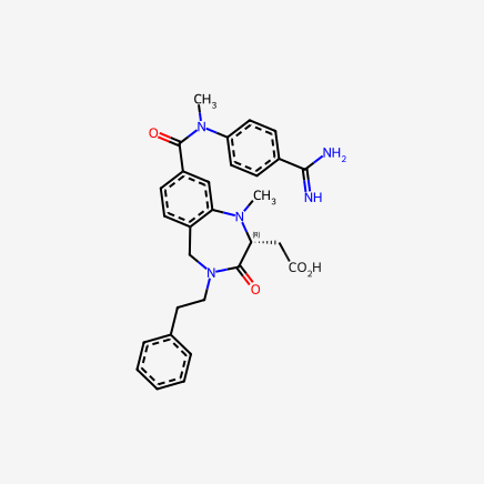 CN(C(=O)c1ccc2c(c1)N(C)[C@H](CC(=O)O)C(=O)N(CCc1ccccc1)C2)c1ccc(C(=N)N)cc1